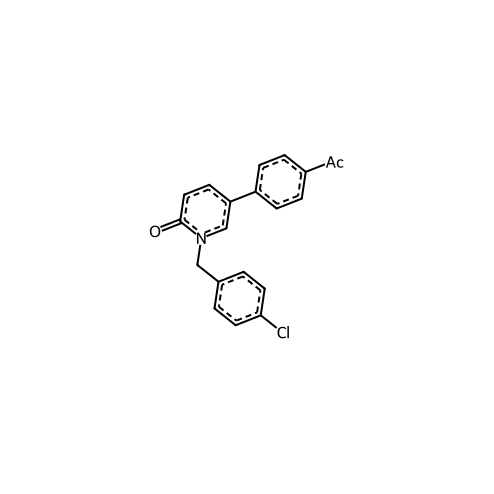 CC(=O)c1ccc(-c2ccc(=O)n(Cc3ccc(Cl)cc3)c2)cc1